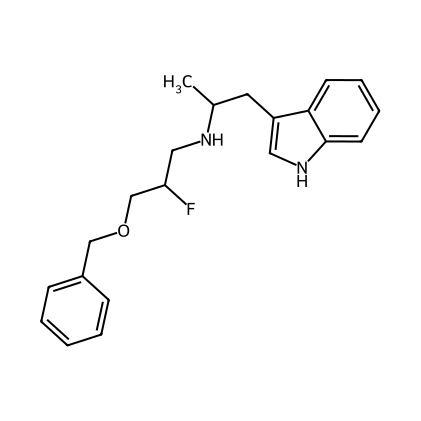 CC(Cc1c[nH]c2ccccc12)NCC(F)COCc1ccccc1